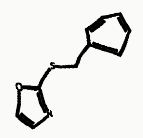 c1ccc(CSc2ncco2)cc1